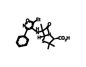 CCc1onc(-c2ccccc2)c1NC1(C)C(=O)N2[C@@H](C(=O)O)C(C)(C)S[C@@H]21